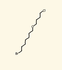 ClCCCCOCCCCCCCBr